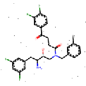 CCc1cccc(CN(C[C@@H](O)[C@@H](N)Cc2cc(F)cc(F)c2)C(=O)CCC(=O)c2ccc(F)c(F)c2)c1